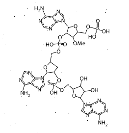 COC1C(COP(=O)(O)O)OC(n2cnc3c(N)ncnc32)C1OP(=O)(O)OCC1CC(OP(O)(=S)OCC2OC(n3cnc4c(N)ncnc43)C(O)C2O)C(n2cnc3c(N)ncnc32)O1